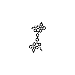 C=CCOc1ccc(C2(c3ccc(C)cc3)c3ccccc3-c3ccc(N(c4ccccc4)c4ccc(-c5ccc(N(c6ccccc6)c6ccc7c(c6)C(c6ccc(C)cc6)(c6ccc(OCC=C)cc6)c6ccccc6-7)cc5)cc4)cc32)cc1